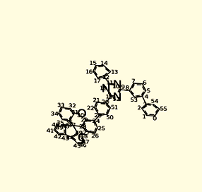 c1ccc(-c2cccc(-c3nc(-c4ccccc4)nc(-c4ccc(-c5cccc6c5Oc5ccccc5C65c6ccccc6-c6ccccc65)cc4)n3)c2)cc1